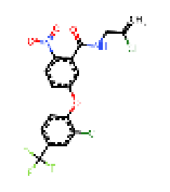 C=C(Cl)CNC(=O)c1cc(Oc2ccc(C(F)(F)F)cc2Cl)ccc1[N+](=O)[O-]